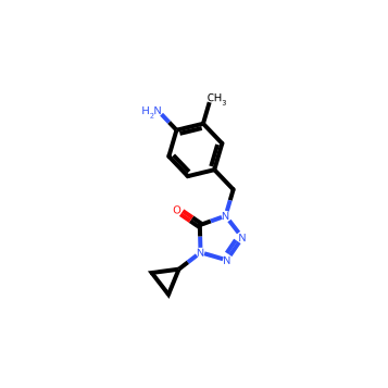 Cc1cc(Cn2nnn(C3CC3)c2=O)ccc1N